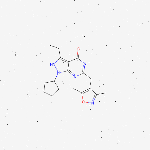 CCc1[nH]n(C2CCCC2)c2nc(Cc3c(C)noc3C)nc(=O)c1-2